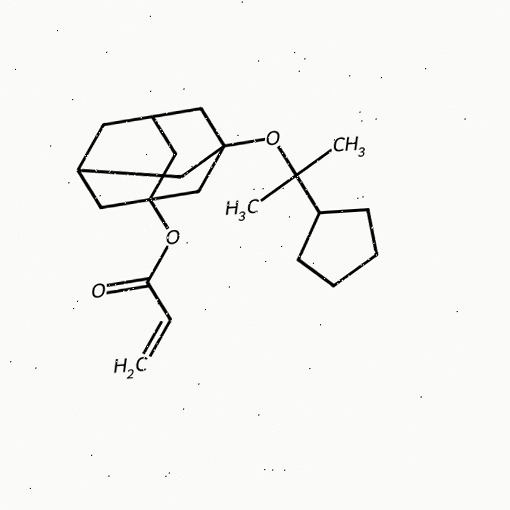 C=CC(=O)OC12CC3CC(C1)CC(OC(C)(C)C1CCCC1)(C3)C2